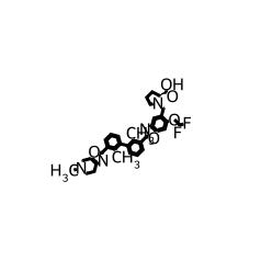 Cc1c(-c2nc3c(o2)CN(C)CC3)cccc1-c1cccc(-c2nc3cc(CN4CCC[C@H]4C(=O)O)c(OC(F)F)cc3o2)c1C